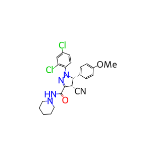 COc1ccc([C@@H]2[C@H](C#N)C(C(=O)NN3CCCCC3)=NN2c2ccc(Cl)cc2Cl)cc1